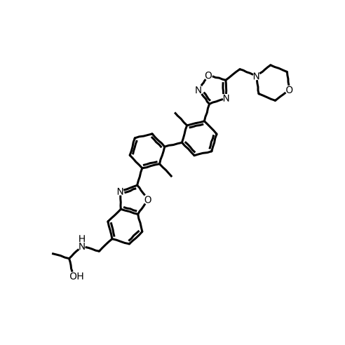 Cc1c(-c2noc(CN3CCOCC3)n2)cccc1-c1cccc(-c2nc3cc(CNC(C)O)ccc3o2)c1C